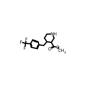 COC(=O)C1CNCCC1Cc1ccc(C(F)(F)F)cc1